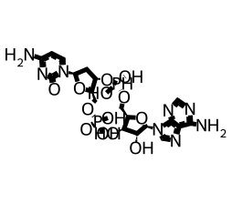 Nc1ccn([C@H]2C[C@H](O[PH](O)(O)OC[C@H]3O[C@@H](n4cnc5c(N)ncnc54)[C@H](O)[C@@H]3O)[C@@H](COP(=O)(O)O)O2)c(=O)n1